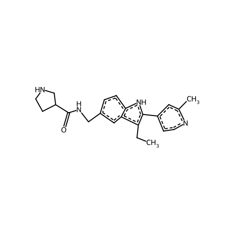 CCc1c(-c2ccnc(C)c2)[nH]c2ccc(CNC(=O)C3CCNC3)cc12